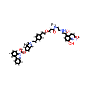 CCN(CCNC[C@H](O)c1ccc(O)c2[nH]c(=O)ccc12)C(=O)CCOCCc1ccc(CCN2CC3C[C@@H](OC(=O)Nc4ccccc4-c4ccccc4)C[C@@H]3C2)cc1